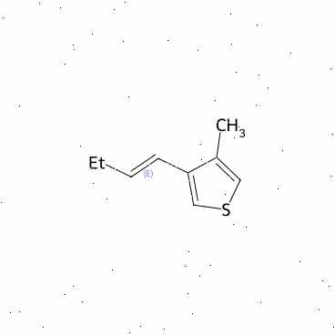 CC/C=C/c1cscc1C